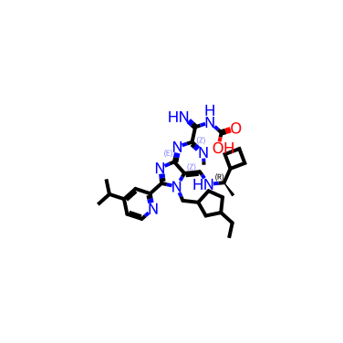 CCC1CCC(CN2C(c3cc(C(C)C)ccn3)=NC(=N/C(=N\C)C(=N)NC(=O)O)/C2=C/N[C@H](C)C2CCC2)C1